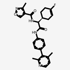 Cc1ccnc(C)c1-c1ccc(NC(=O)C(NC(=O)c2conc2C)[C@@H]2CC=C(F)CC2)cc1